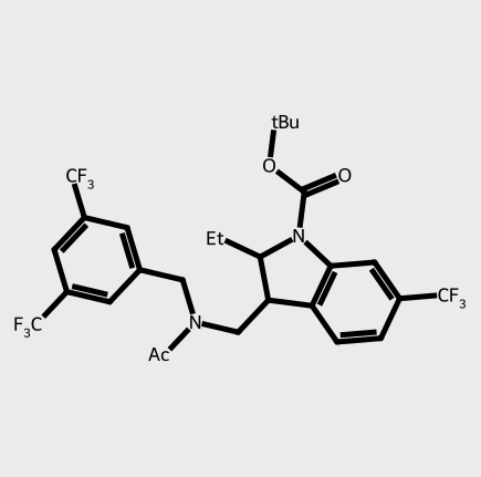 CCC1C(CN(Cc2cc(C(F)(F)F)cc(C(F)(F)F)c2)C(C)=O)c2ccc(C(F)(F)F)cc2N1C(=O)OC(C)(C)C